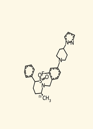 C[C@H]1CCC(c2ccccc2)S(=O)(=O)N1Cc1ccc(N2CCC(n3cccn3)CC2)cc1F